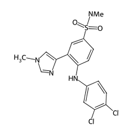 CNS(=O)(=O)c1ccc(Nc2ccc(Cl)c(Cl)c2)c(-c2cn(C)cn2)c1